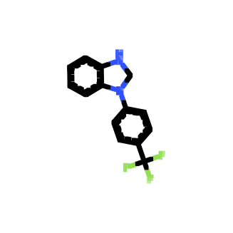 FC(F)(F)c1ccc(N2CNc3ccccc32)cc1